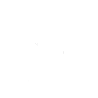 CCC(C)c1ccc(/C(C)=N\OS(=O)(=O)c2c(F)c(F)c(F)c(F)c2F)cc1